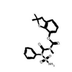 CN(C(=O)Oc1cccc2c1OC(C)(C)C2)C(=O)N(c1ccccc1)S(N)(=O)=O